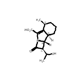 CC(O)[C@H]1C(=O)N2C(C(=O)O)=C3[C@@H](CCC[C@@H]3C)[C@H]12